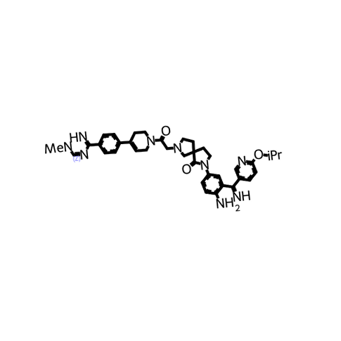 CN/C=N\C(=N)c1ccc(C2=CCN(C(=O)CN3CCC4(CCN(c5ccc(N)c(C(=N)c6ccc(OC(C)C)nc6)c5)C4=O)C3)CC2)cc1